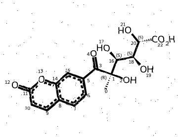 C[C@](O)(C(=O)c1ccc2ccc(=O)oc2c1)[C@@H](O)[C@H](O)[C@H](O)C(=O)O